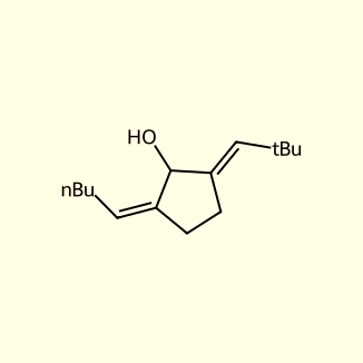 CCCCC=C1CCC(=CC(C)(C)C)C1O